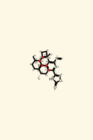 C=Nc1nc(-c2noc(=O)[nH]2)nc(N[C@H](C)C2CCC2)c1N(C)CN1C2=C(CCC1C)[C@@H](C)CCC2